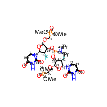 COP(=O)(CO[C@H]1O[C@@H](n2ccc(=O)[nH]c2=O)[C@H](F)[C@@H]1OP(O[C@@H]1[C@@H](OCP(=O)(OC)OC)O[C@@H](n2ccc(=O)[nH]c2=O)[C@@H]1F)N(C(C)C)C(C)C)OC